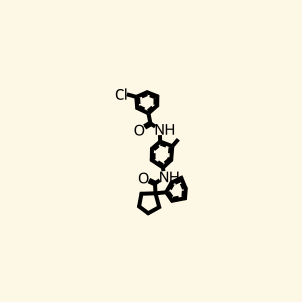 Cc1cc(NC(=O)C2(c3ccccc3)CCCC2)ccc1NC(=O)c1cccc(Cl)c1